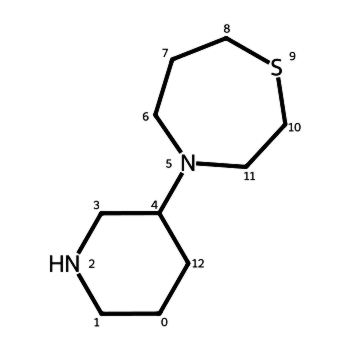 C1CNCC(N2CCCSCC2)C1